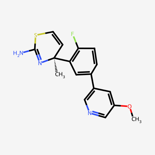 COc1cncc(-c2ccc(F)c([C@]3(C)C=CSC(N)=N3)c2)c1